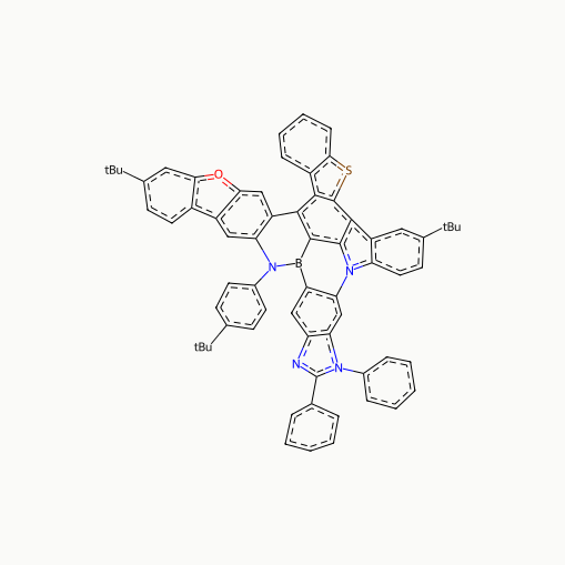 CC(C)(C)c1ccc(N2B3c4cc5nc(-c6ccccc6)n(-c6ccccc6)c5cc4-n4c5ccc(C(C)(C)C)cc5c5c6sc7ccccc7c6c(c3c54)-c3cc4oc5cc(C(C)(C)C)ccc5c4cc32)cc1